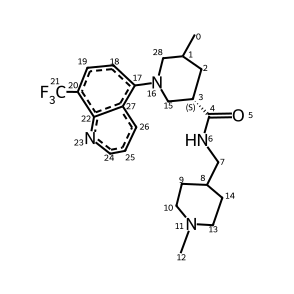 CC1C[C@H](C(=O)NCC2CCN(C)CC2)CN(c2ccc(C(F)(F)F)c3ncccc23)C1